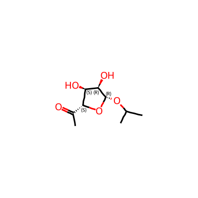 CC(=O)[C@H]1O[C@@H](OC(C)C)[C@H](O)[C@@H]1O